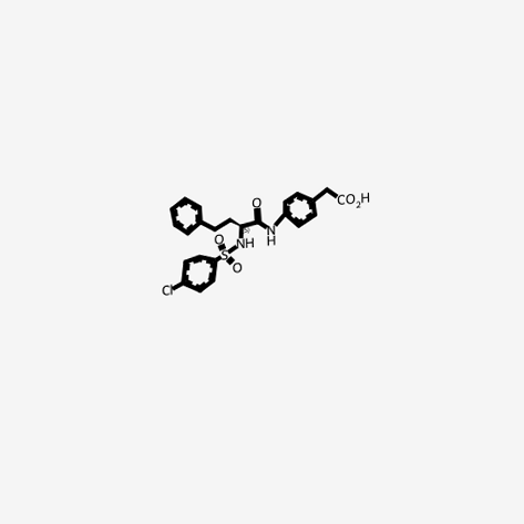 O=C(O)Cc1ccc(NC(=O)[C@H](CCc2ccccc2)NS(=O)(=O)c2ccc(Cl)cc2)cc1